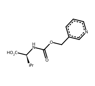 CC(C)[C@H](NC(=O)OCc1cccnc1)C(=O)O